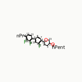 CCCCCOC1CCC(c2ccc(-c3ccc(CCC)c(F)c3F)cc2F)OC1